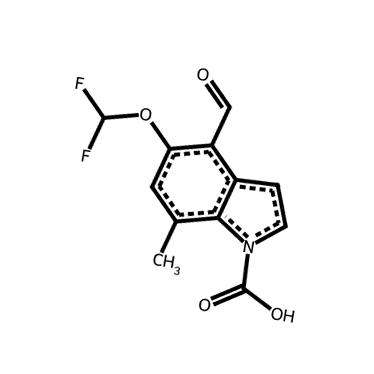 Cc1cc(OC(F)F)c(C=O)c2ccn(C(=O)O)c12